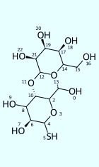 OCC1OC(S)[C@@H](O)C(O)[C@@H]1OC1OC(CO)[C@H](O)[C@H](O)[C@@H]1O